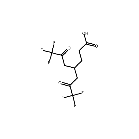 O=C(O)CCC(CC(=O)C(F)(F)F)CC(=O)C(F)(F)F